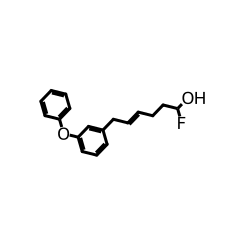 OC(F)CCC=CCc1cccc(Oc2ccccc2)c1